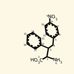 NC(C(=O)O)C(Cc1ccc([N+](=O)[O-])cc1)c1ccccc1